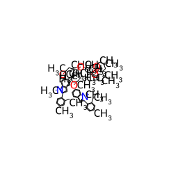 CCc1cc(C)ccc1-c1cc2ccc(OC(C)(C)CC(C)(C)C(OC(C)CC(C)(C)OC(=O)C(CC(C)(C)C)C(C)(C)C)C(C)(C)CC(C)(C)Oc3ccc4cc(-c5ccc(C)cc5CC)n(C)c4c3)cc2n1C